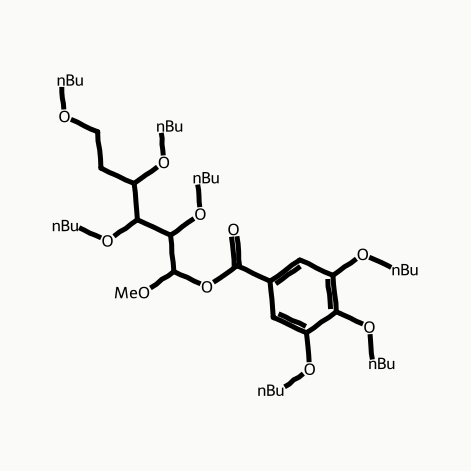 CCCCOCCC(OCCCC)C(OCCCC)C(OCCCC)C(OC)OC(=O)c1cc(OCCCC)c(OCCCC)c(OCCCC)c1